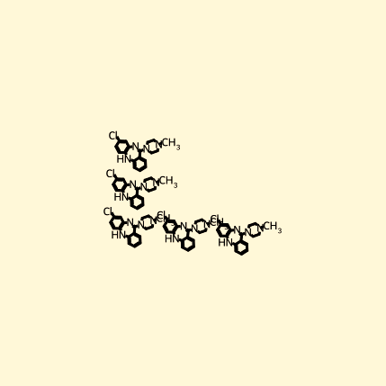 CN1CCN(C2=Nc3cc(Cl)ccc3Nc3ccccc32)CC1.CN1CCN(C2=Nc3cc(Cl)ccc3Nc3ccccc32)CC1.CN1CCN(C2=Nc3cc(Cl)ccc3Nc3ccccc32)CC1.CN1CCN(C2=Nc3cc(Cl)ccc3Nc3ccccc32)CC1.CN1CCN(C2=Nc3cc(Cl)ccc3Nc3ccccc32)CC1